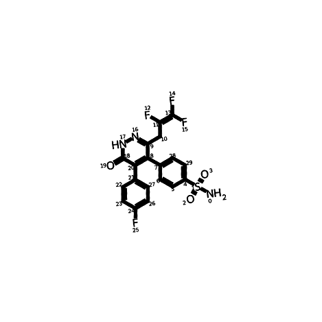 NS(=O)(=O)c1ccc(-c2c(CC(F)=C(F)F)n[nH]c(=O)c2-c2ccc(F)cc2)cc1